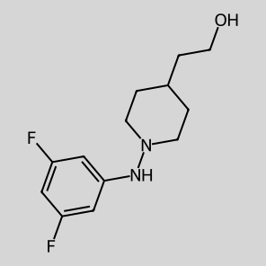 OCCC1CCN(Nc2cc(F)cc(F)c2)CC1